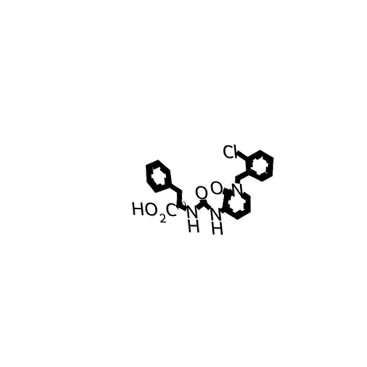 O=C(Nc1cccn(Cc2ccccc2Cl)c1=O)N[C@H](Cc1ccccc1)C(=O)O